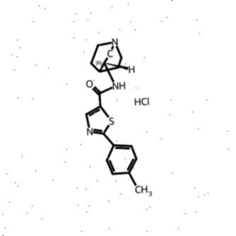 Cc1ccc(-c2ncc(C(=O)N[C@H]3CN4CCC3CC4)s2)cc1.Cl